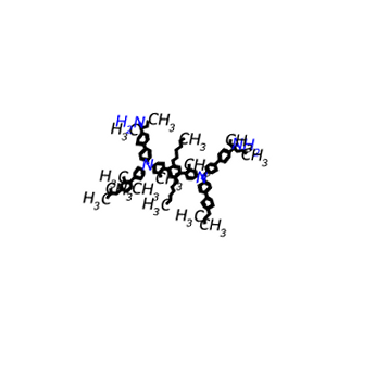 CCCCCCc1cc(-c2ccc(N(c3ccc(-c4ccc(C(C)(N)CCC)cc4)cc3)c3ccc(-c4c(C)cc(CC(C)C)cc4C)cc3)cc2C)c(CCCCCC)cc1-c1ccc(N(c2ccc(-c3ccc(CC(C)C)cc3)cc2)c2ccc(-c3ccc(C(N)(CC)CCC)cc3)cc2)cc1C